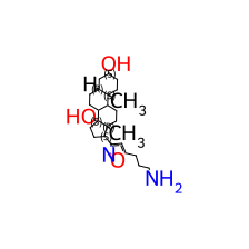 C[C@]12CC[C@H](O)C[C@H]1CCC1C2CC[C@]2(C)[C@@H](c3cc(CCCN)on3)CC[C@]12O